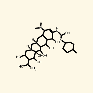 CC1CCC(SC(O)NC2=CC(N(C)C)C3C[C@H]4C[C@H]5CC(O)C(C(N)O)C(O)[C@@]5(O)C(O)C4C(O)C3C2O)CC1